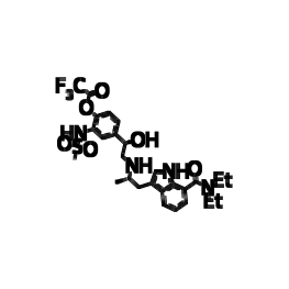 CCN(CC)C(=O)c1cccc2c(C[C@@H](C)NC[C@H](O)c3ccc(OC(=O)C(F)(F)F)c(NS(C)(=O)=O)c3)c[nH]c12